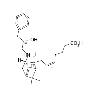 CC1(C)C2=CC1[C@H](C/C=C\CCCC(=O)O)[C@@H](NC[C@@H](O)Cc1ccccc1)C2